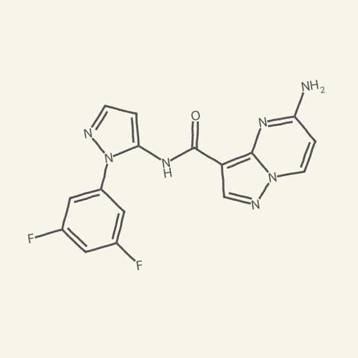 Nc1ccn2ncc(C(=O)Nc3ccnn3-c3cc(F)cc(F)c3)c2n1